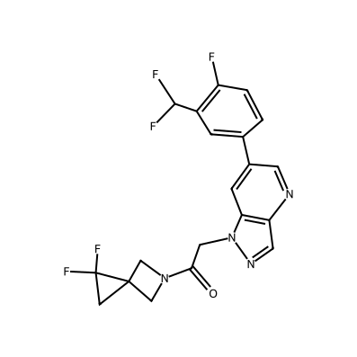 O=C(Cn1ncc2ncc(-c3ccc(F)c(C(F)F)c3)cc21)N1CC2(C1)CC2(F)F